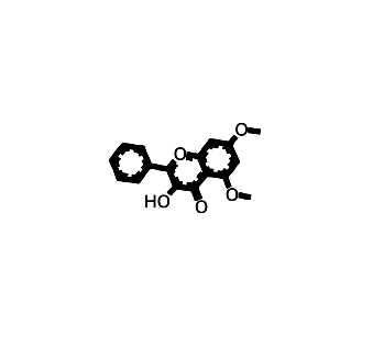 COc1cc(OC)c2c(=O)c(O)c(-c3ccccc3)oc2c1